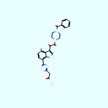 COC(=O)Cc1nc(-c2ccc(F)c3c(C(=O)C(=O)N4CCN(C(=O)c5ccccc5)CC4)c[nH]c23)no1